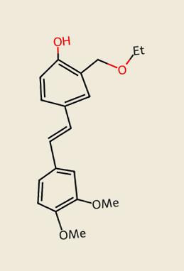 CCOCc1cc(/C=C/c2ccc(OC)c(OC)c2)ccc1O